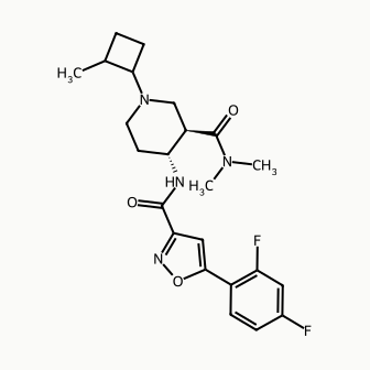 CC1CCC1N1CC[C@@H](NC(=O)c2cc(-c3ccc(F)cc3F)on2)[C@H](C(=O)N(C)C)C1